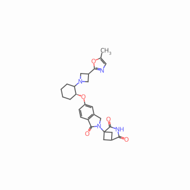 Cc1cnc(C2CN(C3CCCC[C@@H]3Oc3ccc4c(c3)CN(C35CC(C3)C(=O)NC5=O)C4=O)C2)o1